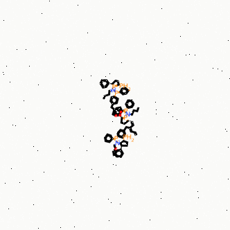 C=C/C=C(\C=C/[C@@H]1CC[C@@H](c2ccc(Cc3ccc(P(c4ccccc4)N(CCCC)P4[C@@H](c5ccccc5)CC[C@@H]4P)cc3)cc2)P1N(CCCC)P(c1ccccc1)c1ccccc1)Cc1ccc(P(c2ccccc2)N(CCCC)C2[C@H](P)CC[C@H]2c2ccccc2)cc1